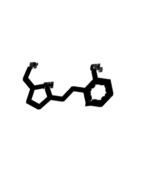 Cc1cccnc1CCC1CCC(CC(C)C)N1